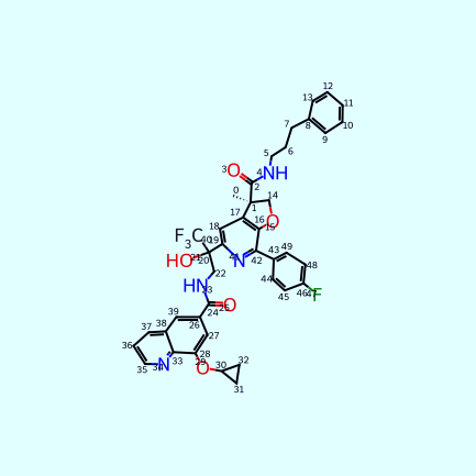 C[C@]1(C(=O)NCCCc2ccccc2)COc2c1cc(C(O)(CNC(=O)c1cc(OC3CC3)c3ncccc3c1)C(F)(F)F)nc2-c1ccc(F)cc1